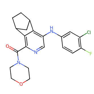 O=C(c1ncc(Nc2ccc(F)c(Cl)c2)c2c1C1CCC2C1)N1CCOCC1